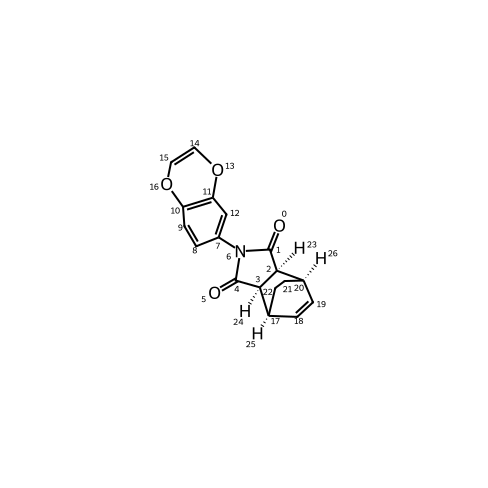 O=C1[C@@H]2[C@H](C(=O)N1c1ccc3c(c1)OC=CO3)[C@@H]1C=C[C@H]2CC1